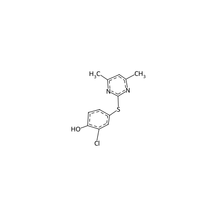 Cc1cc(C)nc(Sc2ccc(O)c(Cl)c2)n1